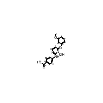 COc1cccc(Sc2ccnc(Nc3ccc(C(=O)O)cc3)n2)c1.Cl